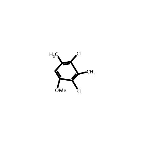 COc1cc(C)c(Cl)c(C)c1Cl